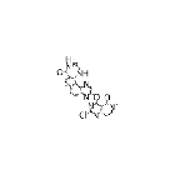 C[C@@H]1CNc2c(sc3ccc4nc(Oc5nc(Cl)nc6c5C(=O)N(C)CC6)cnc4c23)C(=O)N1